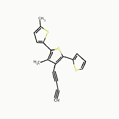 C#CC#Cc1c(-c2cccs2)sc(-c2ccc(C)s2)c1C